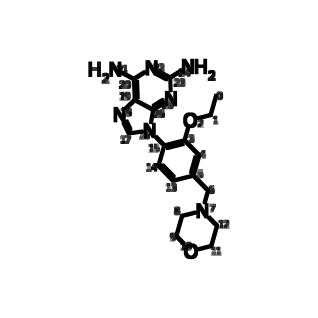 CCOc1cc(CN2CCOCC2)ccc1-n1cnc2c(N)nc(N)nc21